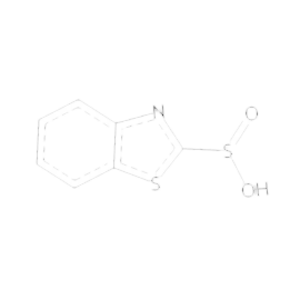 O=S(O)c1nc2ccccc2s1